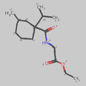 CCOC(=O)CNC(=O)C1(C(C)C)CCCC(C)C1